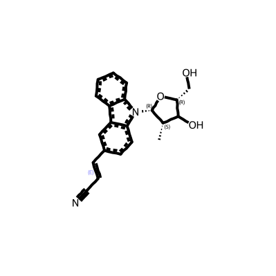 C[C@H]1C(O)[C@@H](CO)O[C@H]1n1c2ccccc2c2cc(/C=C/C#N)ccc21